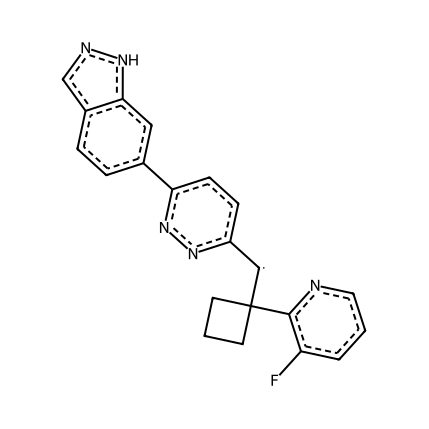 Fc1cccnc1C1([CH]c2ccc(-c3ccc4cn[nH]c4c3)nn2)CCC1